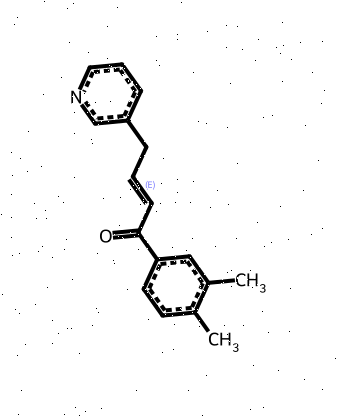 Cc1ccc(C(=O)/C=C/Cc2cccnc2)cc1C